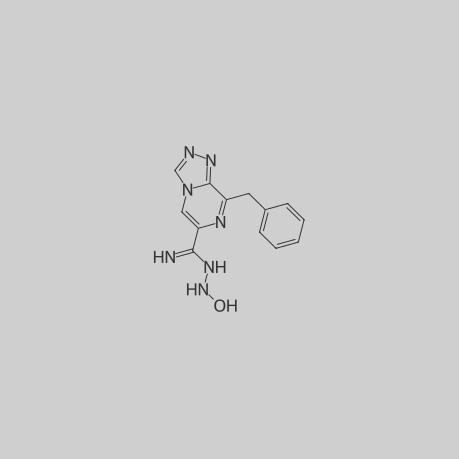 N=C(NNO)c1cn2cnnc2c(Cc2ccccc2)n1